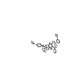 COC(=O)c1ncc(C[As](C(=O)OC(C)(C)C)c2ccc(C#N)cc2)c(C)c1OCc1cccc(C#N)c1